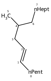 CCCCCC=CCC(C)CCCCCCCC